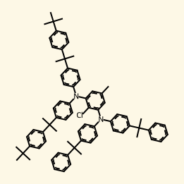 Cc1cc(N(c2ccc(C(C)(C)c3ccccc3)cc2)c2ccc(C(C)(C)c3ccccc3)cc2)c(Cl)c(N(c2ccc(C(C)(C)c3ccc(C(C)(C)C)cc3)cc2)c2ccc(C(C)(C)c3ccc(C(C)(C)C)cc3)cc2)c1